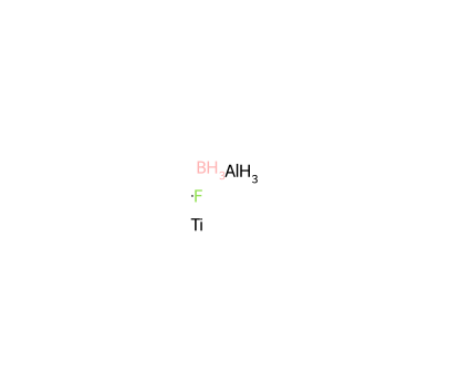 B.[AlH3].[F].[Ti]